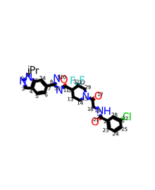 CC(C)n1ncc2ccc(-c3noc(C4CCN(C(=O)CNC(=O)c5cccc(Cl)c5)CC4(F)F)n3)cc21